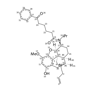 C=CCN1CC[C@]23c4c5c(O)cc(OC)c4O[C@H]2[C@@H](N(C(=O)CCCCC(=O)c2ccccc2)C(C)C)CC[C@H]3[C@H]1C5